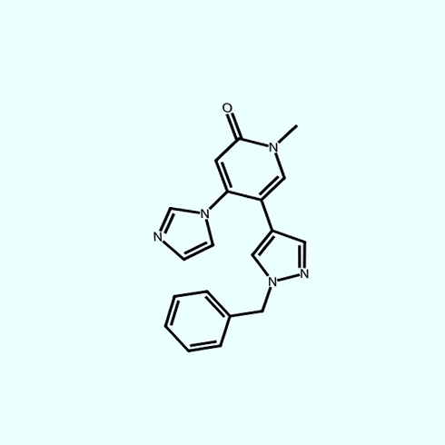 Cn1cc(-c2cnn(Cc3ccccc3)c2)c(-n2ccnc2)cc1=O